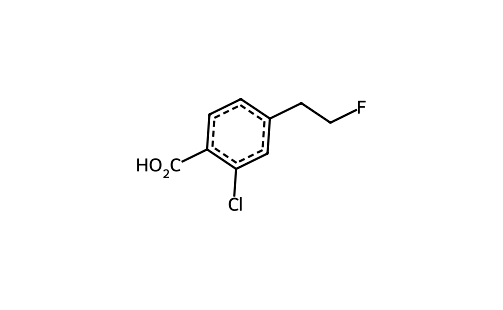 O=C(O)c1ccc(CCF)cc1Cl